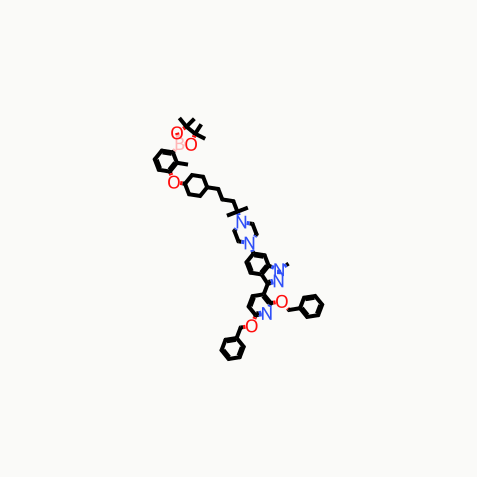 Cc1c(OC2CCC(CCCC(C)(C)N3CCN(c4ccc5c(-c6ccc(OCc7ccccc7)nc6OCc6ccccc6)nn(C)c5c4)CC3)CC2)cccc1B1OC(C)(C)C(C)(C)O1